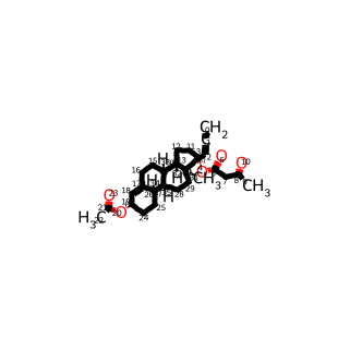 C=C=C[C@]1(OC(=O)CC(C)=O)CC[C@H]2[C@@H]3CCC4=C[C@@H](OC(C)=O)CC[C@@H]4[C@H]3CC[C@@]21C